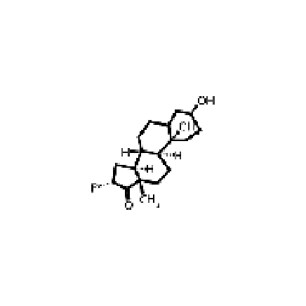 C[C@]12CC[C@H](O)CC1CC[C@@H]1[C@@H]2CC[C@]2(C)C(=O)[C@H](F)C[C@@H]12